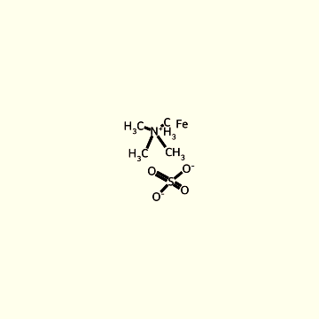 C[N+](C)(C)C.O=S(=O)([O-])[O-].[Fe]